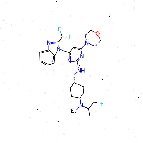 CCN(C(C)CF)[C@H]1CC[C@H](CNc2nc(N3CCOCC3)cc(-n3c(C(F)F)nc4ccccc43)n2)CC1